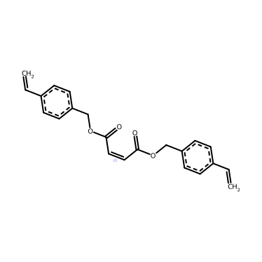 C=Cc1ccc(COC(=O)/C=C\C(=O)OCc2ccc(C=C)cc2)cc1